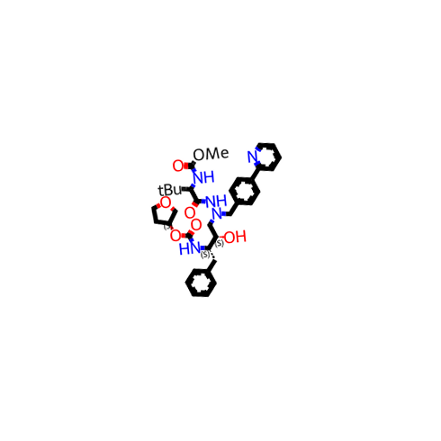 COC(=O)NC(C(=O)NN(Cc1ccc(-c2ccccn2)cc1)C[C@H](O)[C@H](Cc1ccccc1)NC(=O)O[C@H]1CCOC1)C(C)(C)C